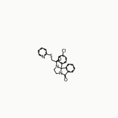 O=C(CSc1ccccn1)N1CCN2C(=O)c3ccccc3C12c1ccc(Cl)cc1